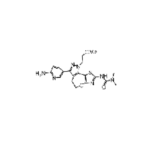 COCCn1nc(-c2ccc(N)nc2)c2c1-c1sc(NC(=O)N(C)C)nc1CCC2